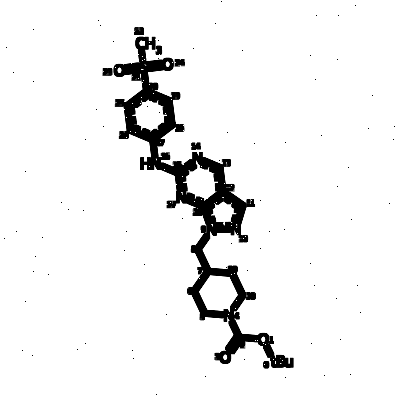 CC(C)(C)OC(=O)N1CCC(Cn2ncc3cnc(Nc4ccc(S(C)(=O)=O)cc4)nc32)CC1